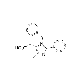 Cc1nc(-c2ccccc2)n(Cc2ccccc2)c1CC(=O)O